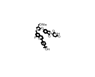 COC[C@@H]1CN(Cc2cc(F)c3nc(C45CCC(C(C)(C)O)(CC4)CC5)ccc3c2)C[C@H]1Oc1ccc2c(c1)CN([C@H]1CCC(=O)NC1=O)C2=O